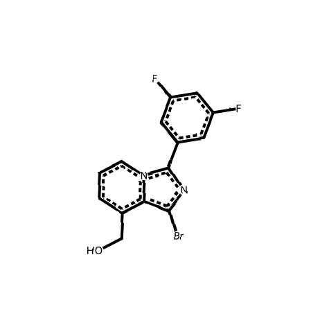 OCc1cccn2c(-c3cc(F)cc(F)c3)nc(Br)c12